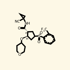 N#CC1(NC(=O)[C@@H]2CC(S(=O)(=O)c3ccccc3C(F)(F)F)C[C@H]2OC2CCOCC2)CC1